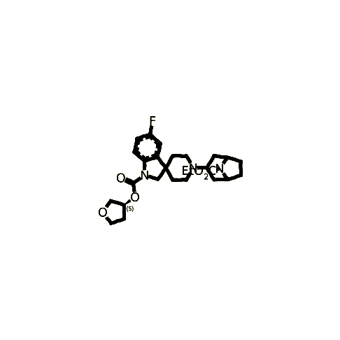 CCOC(=O)N1C2CCC1CC(N1CCC3(CC1)CN(C(=O)O[C@H]1CCOC1)c1ccc(F)cc13)C2